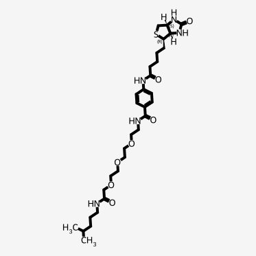 CC(C)CCCNC(=O)COCCOCCOCCNC(=O)c1ccc(NC(=O)CCCC[C@H]2SC[C@H]3NC(=O)N[C@H]32)cc1